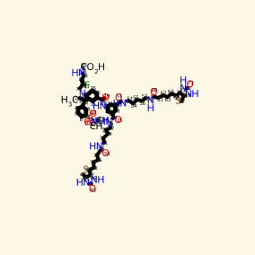 Cc1c(-c2cccc(S(=O)(=O)N(C)C)c2)c2cc(C(=O)Nc3cc(C(=O)NCCCCCNC(=O)CCCCC4SCC5NC(=O)NC54)cc(C(=O)NCCCCCNC(=O)CCCCC4SCC5NC(=O)NC54)c3)ccc2n1CC(F)=CCNC(=O)O